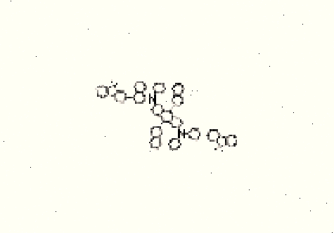 CC1(C)c2ccccc2-c2ccc(-c3ccc(N(c4ccccc4)c4ccc5c(-c6ccc7ccccc7c6)c6cc(N(c7ccccc7)c7ccc(-c8ccc9c(c8)C(C)(C)c8ccccc8-9)c8ccccc78)ccc6c(-c6ccc7ccccc7c6)c5c4)cc3)cc21